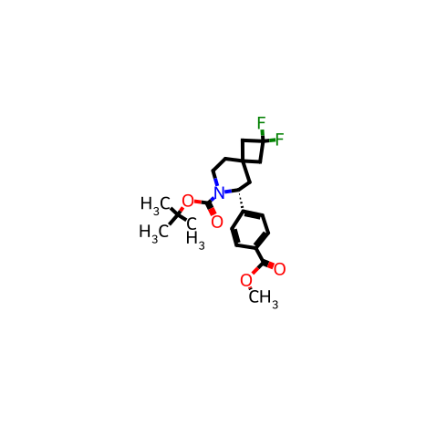 COC(=O)c1ccc([C@H]2CC3(CCN2C(=O)OC(C)(C)C)CC(F)(F)C3)cc1